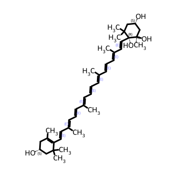 CC1=C(/C=C/C(C)=C/C=C/C(C)=C/C=C/C=C(C)/C=C/C=C(C)/C=C/[C@@]2(O)C(C)(C)C[C@H](O)C[C@@]2(C)O)C(C)(C)C[C@H](O)C1